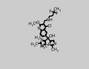 COc1nc2ccc(C(O)(c3cnc(C)n3C)c3cnc(C)n3C)cc2c(Cl)c1CNCCC(C)(F)F